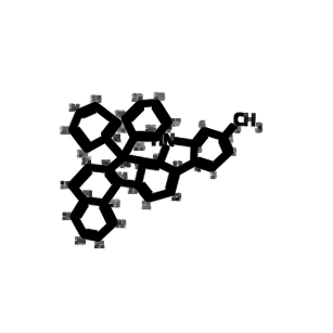 Cc1ccc2c(c1)[nH]c1c3c(ccc12)-c1c(ccc2ccccc12)C3(c1ccccc1)c1ccccc1